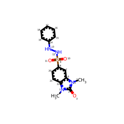 Cn1c(=O)n(C)c2cc(S(=O)(=O)NNc3ccccc3)ccc21